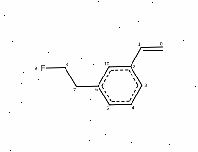 C=Cc1cccc(CCF)c1